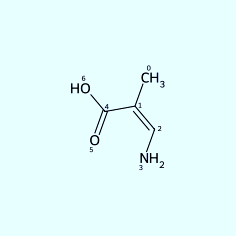 C/C(=C/N)C(=O)O